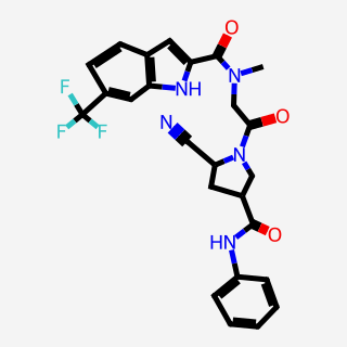 CN(CC(=O)N1CC(C(=O)Nc2ccccc2)CC1C#N)C(=O)c1cc2ccc(C(F)(F)F)cc2[nH]1